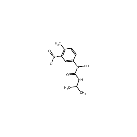 Cc1ccc(N(O)C(=O)NC(C)C)cc1[N+](=O)[O-]